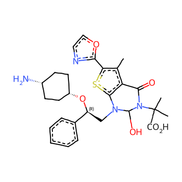 Cc1c(-c2ncco2)sc2c1C(=O)N(C(C)(C)C(=O)O)C(O)N2C[C@H](O[C@H]1CC[C@@H](N)CC1)c1ccccc1